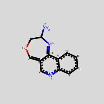 NC1COC=c2cnc3ccccc3c2=N1